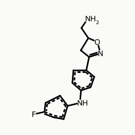 NCC1CC(c2ccc(Nc3ccc(F)cc3)cc2)=NO1